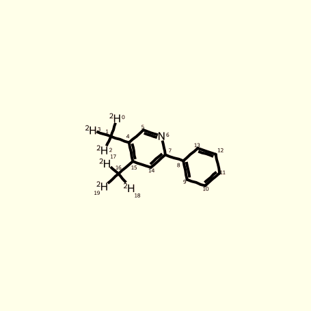 [2H]C([2H])([2H])c1cnc(-c2ccccc2)cc1C([2H])([2H])[2H]